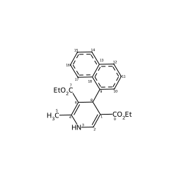 CCOC(=O)C1=CNC(C)=C(C(=O)OCC)C1c1cccc2ccccc12